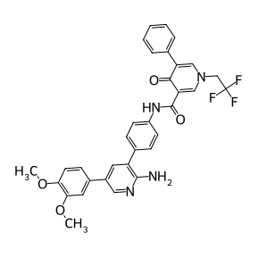 COc1ccc(-c2cnc(N)c(-c3ccc(NC(=O)c4cn(CC(F)(F)F)cc(-c5ccccc5)c4=O)cc3)c2)cc1OC